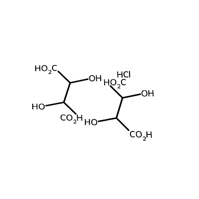 Cl.O=C(O)C(O)C(O)C(=O)O.O=C(O)C(O)C(O)C(=O)O